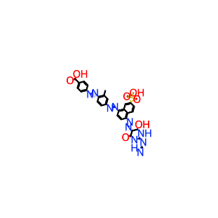 Cc1cc(N=Nc2ccc(N=NC3C(=O)NC(=NC#N)NC3O)c3ccc(S(=O)(=O)O)cc23)ccc1/N=N/c1ccc(C(=O)O)cc1